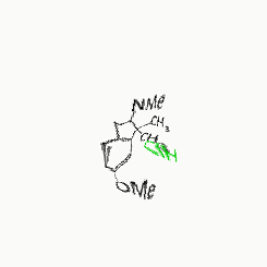 CNC1Cc2ccc(OC)cc2C1(C)C.Cl